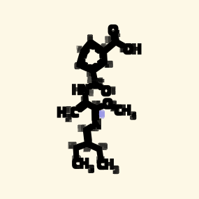 C=C(N[S+]([O-])c1cccc(C(=O)O)c1)/C(=N\C=C(CC)CC)OC